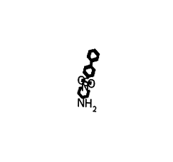 NC1CCN(S(=O)(=O)c2ccc(-c3ccccc3)cc2)CC1